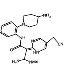 CNC(N)/C(C(=O)Nc1cnccc1N1CCC(N)CC1)=C1/N=CC(CC#N)=CN1